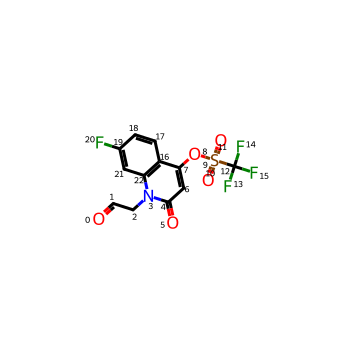 O=CCn1c(=O)cc(OS(=O)(=O)C(F)(F)F)c2ccc(F)cc21